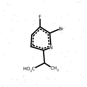 CC(C(=O)O)c1ccc(F)c(Br)n1